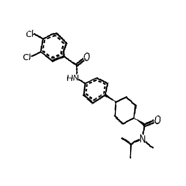 CC(C)N(C)C(=O)[C@H]1CC[C@@H](c2ccc(NC(=O)c3ccc(Cl)c(Cl)c3)cc2)CC1